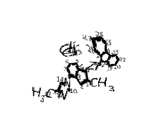 CC1=Cc2c(cccc2-n2cnc(C)c2)[CH]1[Zr+2][CH]1c2ccccc2-c2ccccc21.[Cl-].[Cl-]